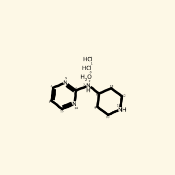 Cl.Cl.O.c1cnc(NC2CCNCC2)nc1